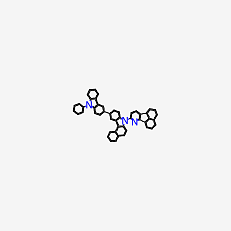 c1ccc(-n2c3ccccc3c3cc(-c4ccc5c(c4)c4c6ccccc6ccc4n5-c4ccc5c(n4)-c4cccc6cccc-5c46)ccc32)cc1